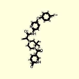 CC(C(=O)Nc1ccc(Oc2ccc(F)cc2)cn1)N1CCN(C(=O)c2ccc(=O)[nH]c2)C(C)(C)C1